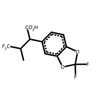 CC(C(C(=O)O)c1ccc2c(c1)OC(F)(F)O2)C(F)(F)F